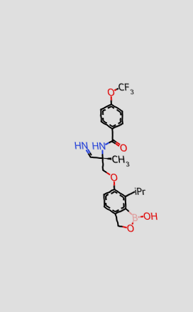 CC(C)c1c(OC[C@](C)(C=N)NC(=O)c2ccc(OC(F)(F)F)cc2)ccc2c1B(O)OC2